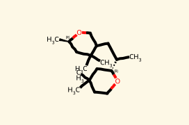 CC(CC1CO[C@H](C)CC1(C)C)[C@H]1CC(C)(C)CCO1